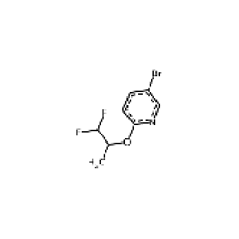 CC(Oc1ccc(Br)cn1)C(F)F